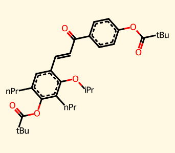 CCCc1cc(/C=C/C(=O)c2ccc(OC(=O)C(C)(C)C)cc2)c(OC(C)C)c(CCC)c1OC(=O)C(C)(C)C